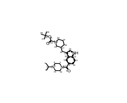 CC(C)N1CCN(C(=O)c2ccc3[nH]cc(CC4CCCN(C(=O)OC(C)(C)C)C4)c3c2)CC1